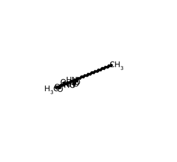 CCC=CCC=CCC=CCC=CCC=CCC=CCCC(=O)NC(CCCNC(=O)C=CC(=O)OC)C(=O)O